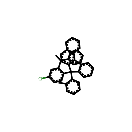 Cc1ccccc1C1(c2ccc(Cl)cc2C(C)c2ccccc2)c2ccccc2-c2c1ccc1ccccc21